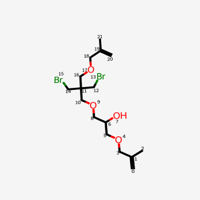 C=C(C)COCC(O)COCC(CBr)(CBr)COCC(=C)C